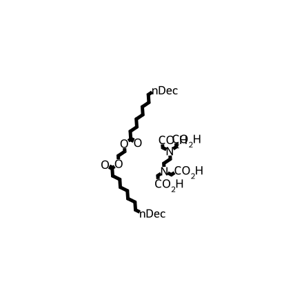 CCCCCCCCCCCCCCCCCC(=O)OCCOC(=O)CCCCCCCCCCCCCCCCC.O=C(O)CN(CCN(CC(=O)O)CC(=O)O)CC(=O)O